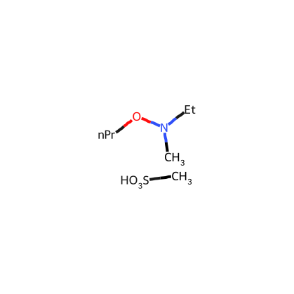 CCCON(C)CC.CS(=O)(=O)O